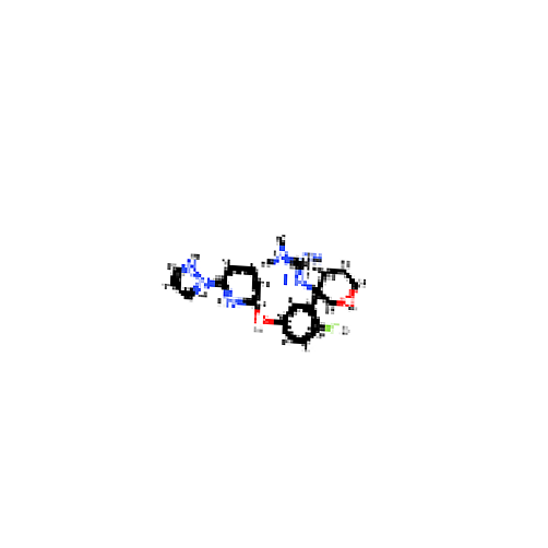 CN(C)C(=N)NC1(c2cc(Oc3cccc(-n4cccn4)n3)ccc2F)COCCC1C=O